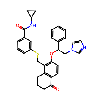 O=C(NC1CC1)c1cccc(SCc2c(O[C@H](Cn3ccnc3)c3ccccc3)ccc3c2CCCC3=O)c1